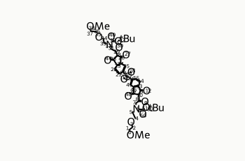 COCCOCCN(CC(=O)C1C(=O)c2ccc(S(=O)(=O)c3ccc4c(c3)C(=O)C(C(=O)CN(CCOCCOC)C(=O)OC(C)(C)C)C4=O)cc2C1=O)C(=O)OC(C)(C)C